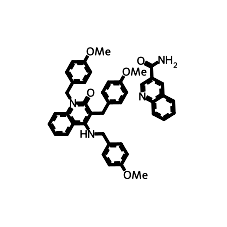 COc1ccc(CNc2c(Cc3ccc(OC)cc3)c(=O)n(Cc3ccc(OC)cc3)c3ccccc23)cc1.NC(=O)c1cnc2ccccc2c1